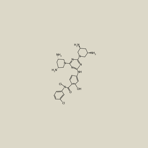 N[C@@H]1C[C@H](N)CN(c2nc(Nc3ccc(C(=O)N(Cl)c4cccc(Cl)c4)c(O)c3)nc(N3C[C@H](N)C[C@H](N)C3)n2)C1